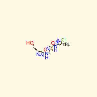 CC(NC(=O)c1cc(C#CCCO)ncn1)c1ncc(C(=O)Nc2cc(C(C)(C)C)c(Cl)nn2)s1